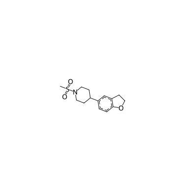 CS(=O)(=O)N1CCC(c2ccc3c(c2)CCO3)CC1